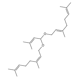 CC(C)=CCCC(C)=CCOC(C=C(C)C)OCC=C(C)CCC=C(C)C